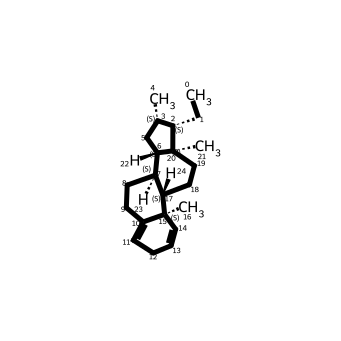 CC[C@H]1[C@@H](C)C[C@H]2[C@@H]3CCC4=CCC=C[C@]4(C)[C@H]3CC[C@@]21C